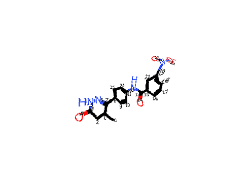 CC1CC(=O)NN=C1c1ccc(NC(=O)c2cccc([N+](=O)[O-])c2)cc1